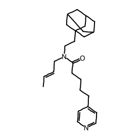 C/C=C/CN(CCC12CC3CC(CC(C3)C1)C2)C(=O)CCCCc1ccncc1